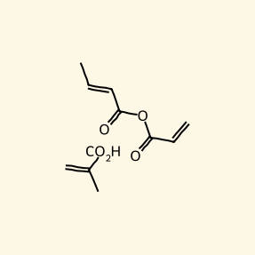 C=C(C)C(=O)O.C=CC(=O)OC(=O)C=CC